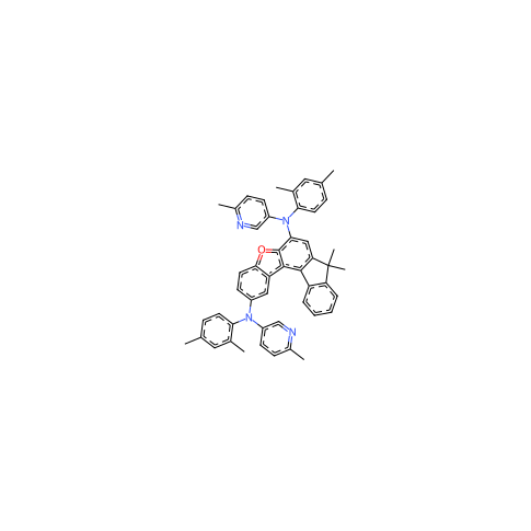 Cc1ccc(N(c2ccc(C)nc2)c2ccc3oc4c(N(c5ccc(C)nc5)c5ccc(C)cc5C)cc5c(c4c3c2)-c2ccccc2C5(C)C)c(C)c1